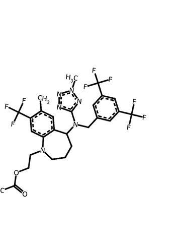 CC(=O)OCCN1CCCC(N(Cc2cc(C(F)(F)F)cc(C(F)(F)F)c2)c2nnn(C)n2)c2cc(C)c(C(F)(F)F)cc21